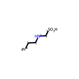 CC(C)CCNCS(=O)(=O)O